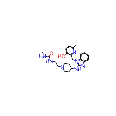 CNC(=O)NCCN1CCC(Nc2nc3ccccc3n2Cc2nc(C)ccc2O)CC1